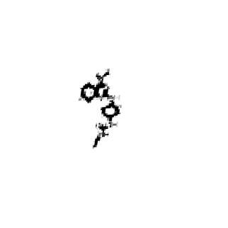 CCNC(=O)NC1CCC(Nc2nc3c(c(N(C)C)n2)CCCC3)CC1